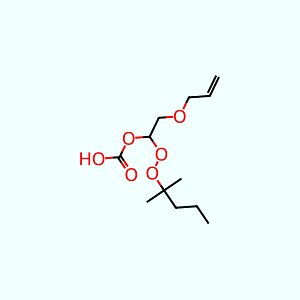 C=CCOCC(OOC(C)(C)CCC)OC(=O)O